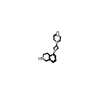 c1cc2c(c(N3CC(N4CCOCC4)C3)c1)CCNC2